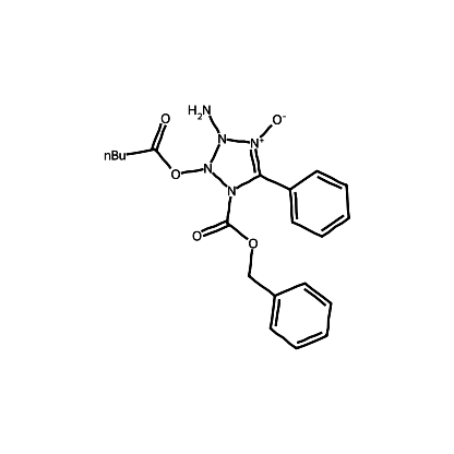 CCCCC(=O)ON1N(C(=O)OCc2ccccc2)C(c2ccccc2)=[N+]([O-])N1N